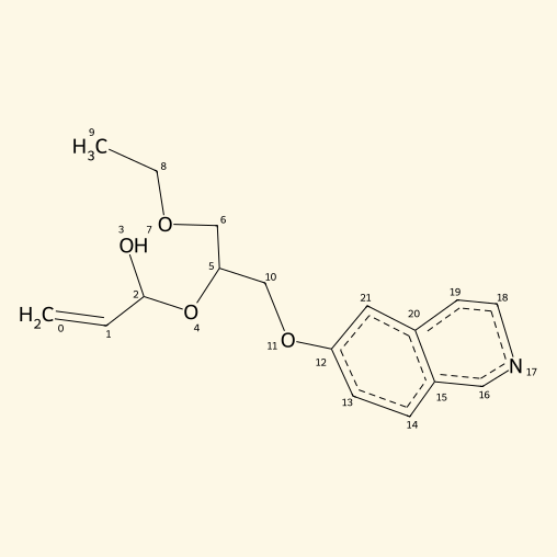 C=CC(O)OC(COCC)COc1ccc2cnccc2c1